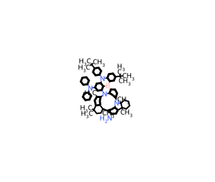 Cc1cc2c3cc1N1c4cc(ccc4B4c5cc(C(C)(C)C)ccc5N(c5ccc(C(C)(C)C)cc5)c5cc(N(c6ccccc6)c6ccccc6)cc1c54)N1c4cc(c(N)cc4C4(C)CCCCC14C)C3(C)CCC2(C)C